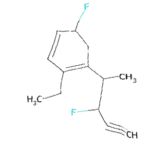 C#CC(F)C(C)C1=C(CC)C=CC(F)C1